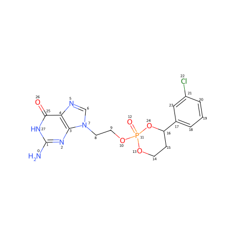 Nc1nc2c(ncn2CCOP2(=O)OCCC(c3cccc(Cl)c3)O2)c(=O)[nH]1